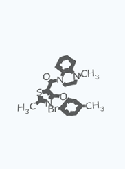 Cc1ccc(Br)c(Oc2nc(C)sc2C(=O)N2CCN(C)c3ccccc32)c1